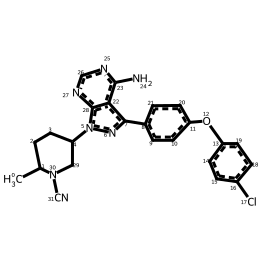 CC1CCC(n2nc(-c3ccc(Oc4ccc(Cl)cc4)cc3)c3c(N)ncnc32)CN1C#N